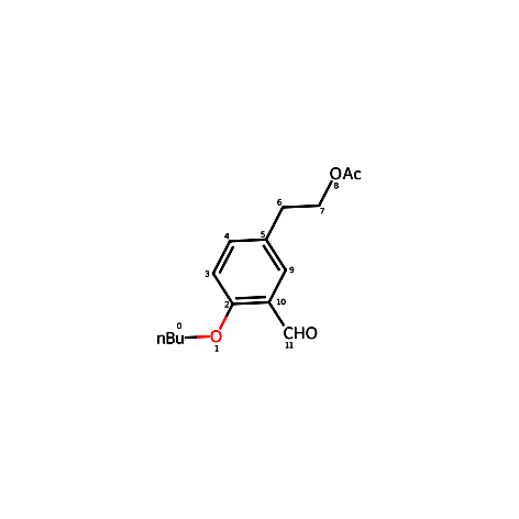 CCCCOc1ccc(CCOC(C)=O)cc1C=O